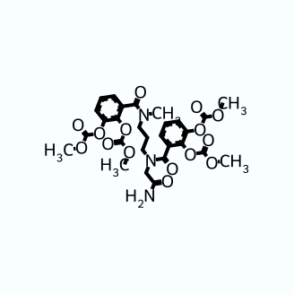 COC(=O)Oc1cccc(C(=O)N(C)CCCN(CC(N)=O)C(=O)c2cccc(OC(=O)OC)c2OC(=O)OC)c1OC(=O)OC